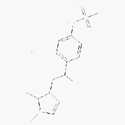 CC1N(C)C=CN1CC(O)c1ccc(NS(C)(=O)=O)cc1.Cl